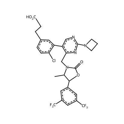 CC1C(c2cc(C(F)(F)F)cc(C(F)(F)F)c2)OC(=O)N1Cc1nc(N2CCC2)ncc1-c1cc(CCC(=O)O)ccc1Cl